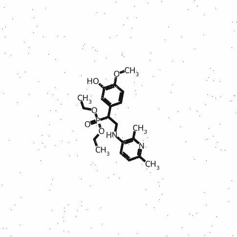 CCOP(=O)(OCC)C(CNc1ccc(C)nc1C)c1ccc(OC)c(O)c1